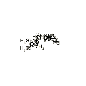 COc1cc(OC)c(NC(=O)c2ccc(Oc3cccc(NS(=O)(=O)c4ccc(Cl)cc4)c3)o2)c(OC)c1